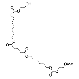 COCCOC(=O)OCCCCCCOC(=O)CCCC(=O)OCCCCCCOC(=O)OCCO